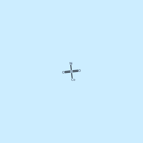 O=[S](=O)([Co])[Ni]